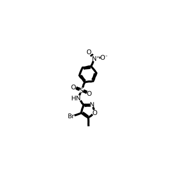 Cc1onc(NS(=O)(=O)c2ccc([N+](=O)[O-])cc2)c1Br